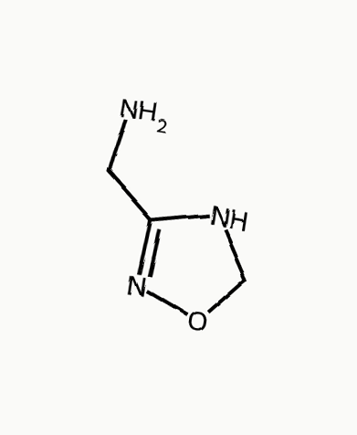 NCC1=NOCN1